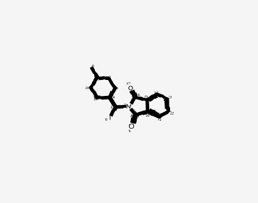 CC1CCC(C(I)N2C(=O)c3ccccc3C2=O)CC1